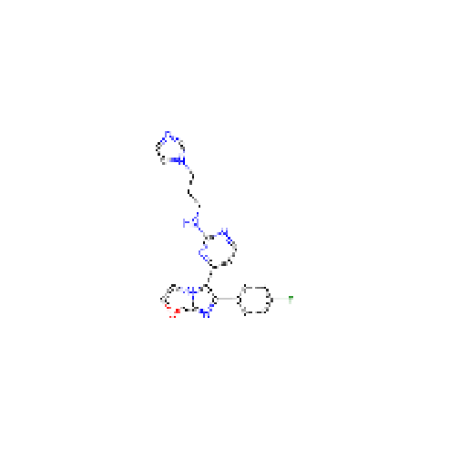 Fc1ccc(-c2nc3occn3c2-c2ccnc(NCCCn3ccnc3)n2)cc1